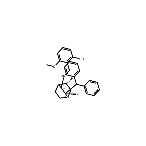 COc1cccc(O)c1CN[C@@H]1C2CCN(CC2)[C@H]1C(c1ccccc1)c1ccccc1